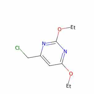 CCOc1cc(CCl)nc(OCC)n1